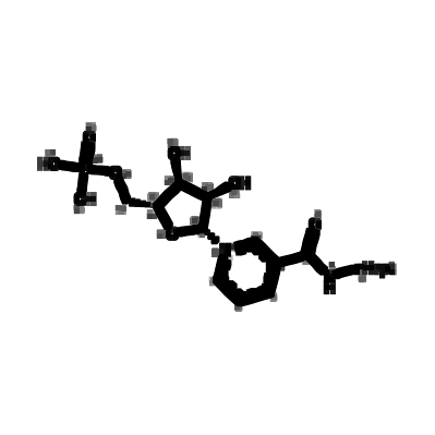 CCCCCCCNC(=O)c1ccc[n+]([C@@H]2O[C@H](COP(=O)(O)O)[C@@H](O)[C@H]2O)c1